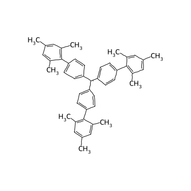 Cc1cc(C)c(-c2ccc([C](c3ccc(-c4c(C)cc(C)cc4C)cc3)c3ccc(-c4c(C)cc(C)cc4C)cc3)cc2)c(C)c1